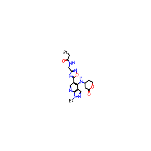 CCn1ncc2c(NC3CCOC(=O)C3)c(-c3nc(CNC(=O)CC(C)C)no3)cnc21